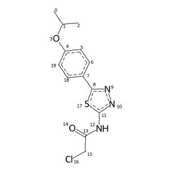 CC(C)Oc1ccc(-c2nnc(NC(=O)CCl)s2)cc1